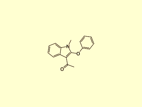 CC(=O)c1c(Oc2ccccc2)n(C)c2ccccc12